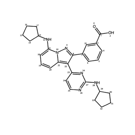 O=C(O)c1cccc(-c2nn3c(NC4CCCC4)cccc3c2-c2ccnc(NC3CCCC3)n2)c1